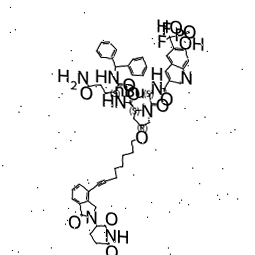 CCCC[C@H](NC(=O)c1cnc2ccc(C(F)(F)P(=O)(O)O)cc2c1)C(=O)N1C[C@H](OCCCCCCC#Cc2cccc3c2CN(C2CCC(=O)NC2=O)C3=O)C[C@H]1C(=O)N[C@@H](CCC(N)=O)C(=O)NC(c1ccccc1)c1ccccc1